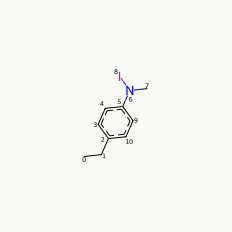 CCc1ccc(N(C)I)cc1